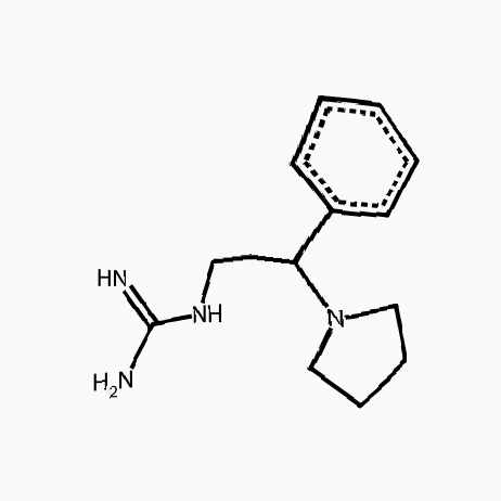 N=C(N)NCC(c1ccccc1)N1CCCC1